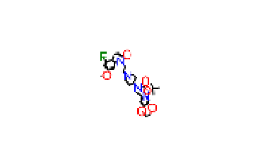 COc1cc(F)c2ccc(=O)n(CCN3CCC(N(Cc4cc5c(cn4)OCCO5)C(=O)OC(C)(C)C)CC3)c2c1